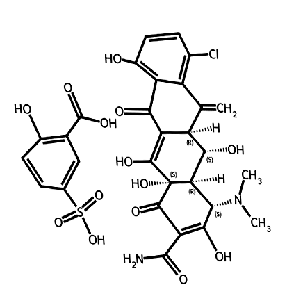 C=C1c2c(Cl)ccc(O)c2C(=O)C2=C(O)[C@]3(O)C(=O)C(C(N)=O)=C(O)[C@@H](N(C)C)[C@@H]3[C@@H](O)[C@H]12.O=C(O)c1cc(S(=O)(=O)O)ccc1O